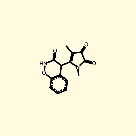 CC1=C(C2C(=O)NOc3ccccc32)N(C)C(=O)C1=O